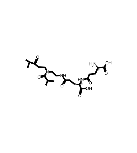 CC(C)C(=O)CCN(CCNC(=O)CC[C@@H](NC(=O)CC[C@@H](N)C(=O)O)C(=O)O)C(=O)C(C)C